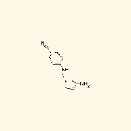 N#Cc1ccc(NCc2cc[c]c(N)c2)cc1